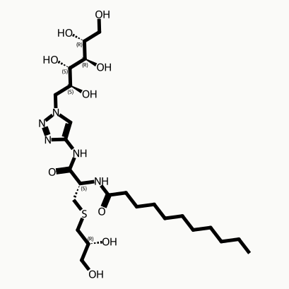 CCCCCCCCCCC(=O)N[C@H](CSC[C@H](O)CO)C(=O)Nc1cn(C[C@H](O)[C@H](O)[C@H](O)[C@H](O)CO)nn1